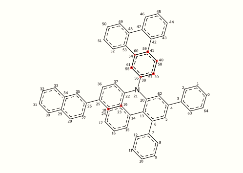 c1ccc(-c2cc(-c3ccccc3)c(-c3ccccc3)c(N(c3ccc(-c4ccc5ccccc5c4)cc3)c3ccc(-c4ccccc4-c4ccccc4-c4ccccc4)cc3)c2)cc1